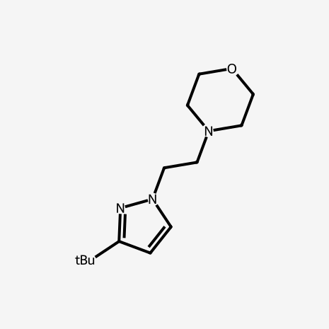 CC(C)(C)c1ccn(CCN2CCOCC2)n1